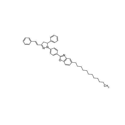 CCCCCCCCCCCCc1ccc2oc(-c3ccc(N4N=C(C=Cc5ccccc5)CC4c4ccccc4)cc3)nc2c1